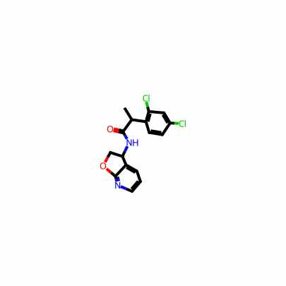 CC(C(=O)NC1COc2ncccc21)c1ccc(Cl)cc1Cl